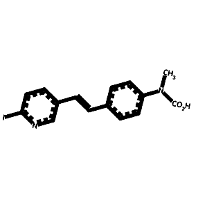 CN(C(=O)O)c1ccc(/C=C/c2ccc(I)nc2)cc1